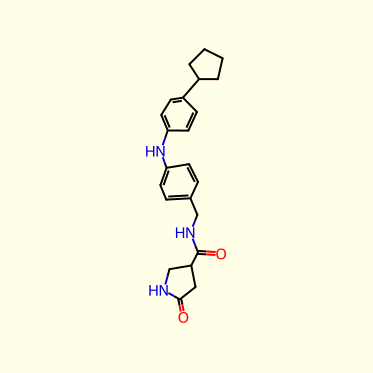 O=C1CC(C(=O)NCc2ccc(Nc3ccc(C4CCCC4)cc3)cc2)CN1